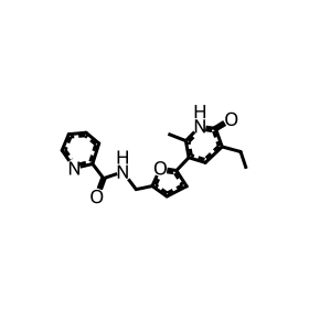 CCc1cc(-c2ccc(CNC(=O)c3ccccn3)o2)c(C)[nH]c1=O